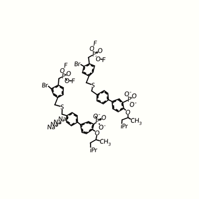 CC(C)CC(C)Oc1ccc(-c2ccc(CSCc3ccc(CP(=O)(OF)OF)c(Br)c3)cc2)cc1P(=O)([O-])[O-].CC(C)CC(C)Oc1ccc(-c2ccc(CSCc3ccc(CP(=O)(OF)OF)c(Br)c3)cc2)cc1P(=O)([O-])[O-].[Na+].[Na+].[Na+].[Na+]